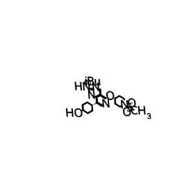 CC[C@H](C)Nc1ncc2c(OC3CCN(S(C)(=O)=O)CC3)ncc([C@H]3CC[C@H](O)CC3)c2n1